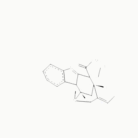 C/C=C1/CN2CC[C@@]34C(=Nc5ccccc53)[C@@](CO)(C(=O)OC)[C@H]1C[C@H]24